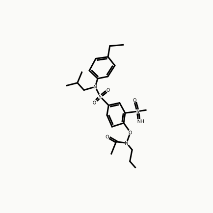 CCCN(Oc1ccc(S(=O)(=O)N(CC(C)C)c2ccc(CC)cc2)cc1S(C)(=N)=O)C(C)=O